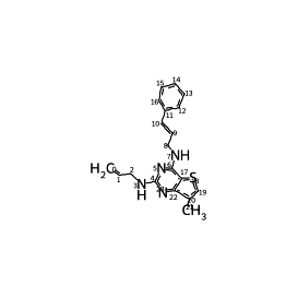 C=CCNc1nc(NCC=Cc2ccccc2)c2scc(C)c2n1